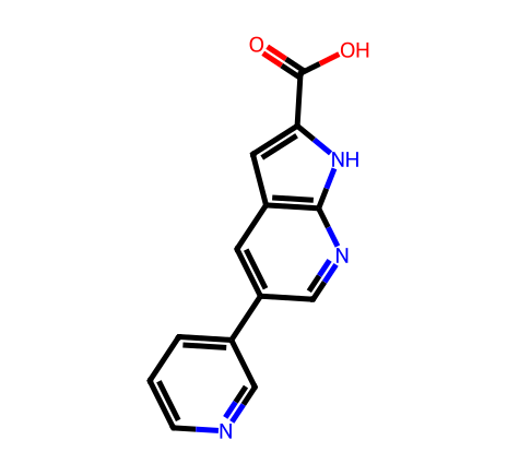 O=C(O)c1cc2cc(-c3cccnc3)cnc2[nH]1